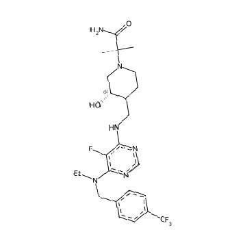 CCN(Cc1ccc(C(F)(F)F)cc1)c1ncnc(NCC2CCN(C(C)(C)C(N)=O)C[C@H]2O)c1F